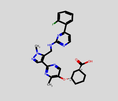 Cc1nc(-c2cnn(C)c2CNc2nccc(-c3ccccc3F)n2)ncc1O[C@H]1CCC[C@H](C(=O)O)C1